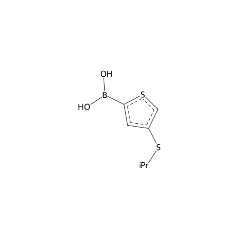 CC(C)Sc1csc(B(O)O)c1